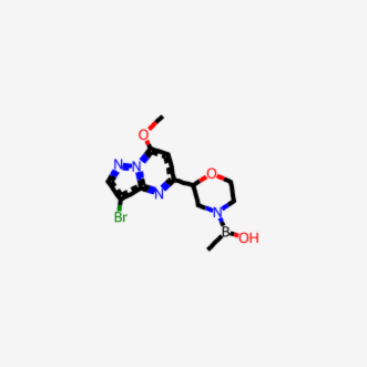 COc1cc(C2CN(B(C)O)CCO2)nc2c(Br)cnn12